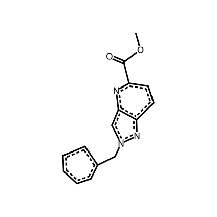 COC(=O)c1ccc2nn(Cc3ccccc3)cc2n1